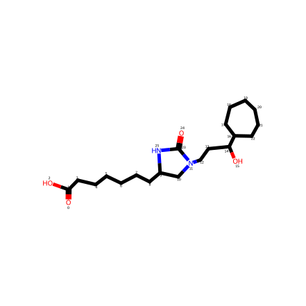 O=C(O)CCCCCCC1CN(CCC(O)C2CCCCCC2)C(=O)N1